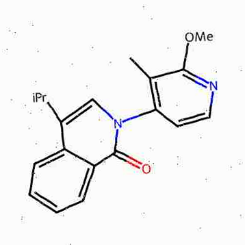 COc1nccc(-n2cc(C(C)C)c3ccccc3c2=O)c1C